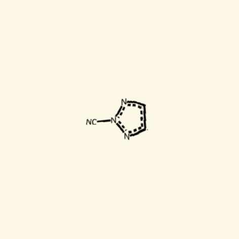 N#Cn1n[c]cn1